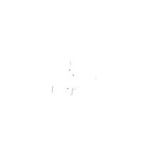 [AlH2][SiH3].[Cu].[Ni]